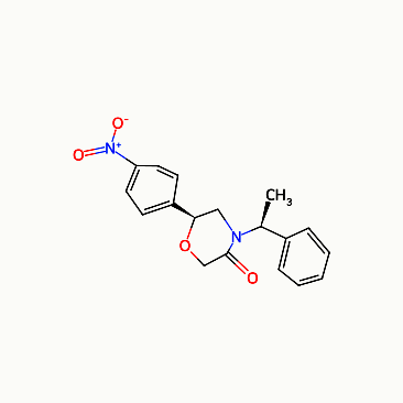 C[C@@H](c1ccccc1)N1C[C@H](c2ccc([N+](=O)[O-])cc2)OCC1=O